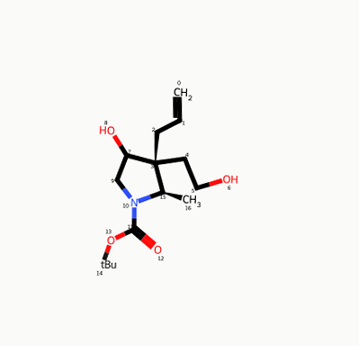 C=CC[C@]1(CCO)C(O)CN(C(=O)OC(C)(C)C)[C@@H]1C